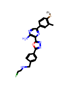 Cc1cc(-c2cnc(N)c(-c3nnc(-c4ccc(CNCCF)cc4)o3)n2)ccc1SC(C)C